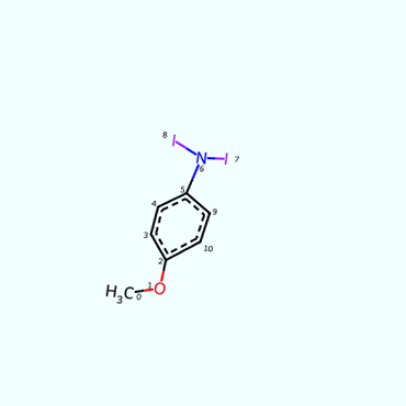 COc1ccc(N(I)I)cc1